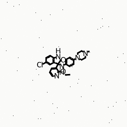 CCOc1ncccc1C1(Nc2ccc(N3CCN(C)CC3)cc2)C(=O)Nc2ccc(Cl)cc21